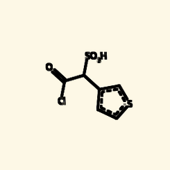 O=C(Cl)C(c1ccsc1)S(=O)(=O)O